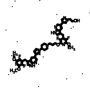 COc1nc(OC)c(F)c(Cc2c[nH]c3ncc(-c4ccn(C5CCN(CCCOc6nc(OC)c(F)c(Cc7c[nH]c8ncc(-c9cnn(CCO)c9)cc78)c6F)CC5)n4)cc23)c1F